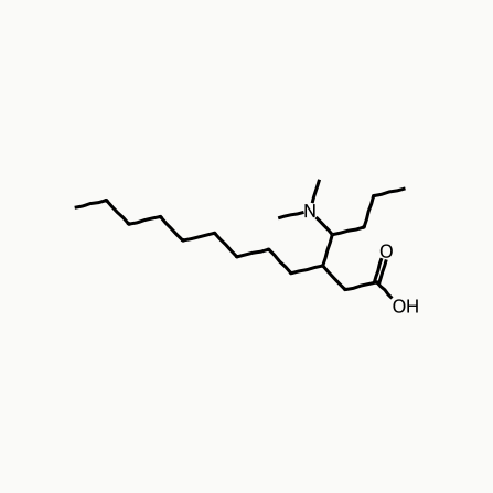 CCCCCCCCCC(CC(=O)O)C(CCC)N(C)C